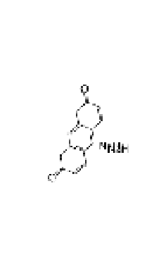 O=C1C=Cc2cc3c(cc2C1)CC(=O)C=C3.[NaH].[NaH]